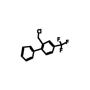 FC(F)(F)c1ccc(-c2ccccc2)c(CCl)c1